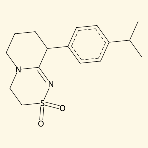 CC(C)c1ccc(C2CCCN3CCS(=O)(=O)N=C23)cc1